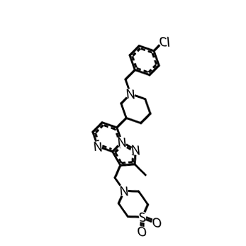 Cc1nn2c(C3CCCN(Cc4ccc(Cl)cc4)C3)ccnc2c1CN1CCS(=O)(=O)CC1